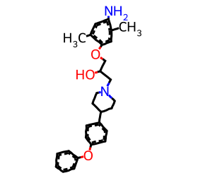 Cc1cc(OCC(O)CN2CCC(c3ccc(Oc4ccccc4)cc3)CC2)c(C)cc1N